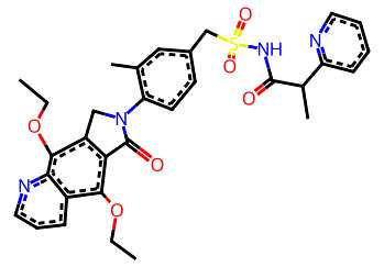 CCOc1c2c(c(OCC)c3ncccc13)CN(c1ccc(CS(=O)(=O)NC(=O)C(C)c3ccccn3)cc1C)C2=O